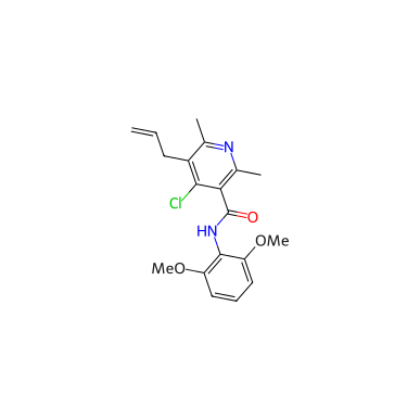 C=CCc1c(C)nc(C)c(C(=O)Nc2c(OC)cccc2OC)c1Cl